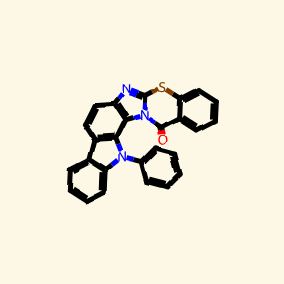 O=c1c2ccccc2sc2nc3ccc4c5ccccc5n(-c5ccccc5)c4c3n12